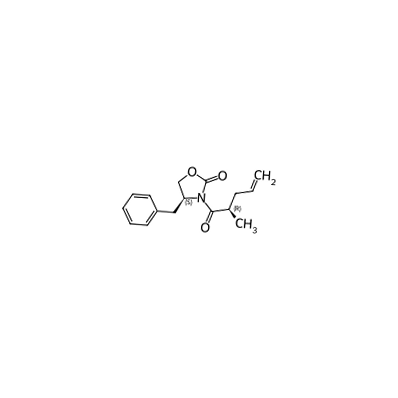 C=CC[C@@H](C)C(=O)N1C(=O)OC[C@@H]1Cc1ccccc1